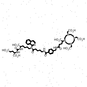 O=C(O)CC[C@@H](NC(=O)N[C@H](CCCCN(C(=O)CCCCNC(=O)c1ccc(CNC(=O)CCC(C(=O)O)N2CCN(CC(=O)O)CCN(CC(=O)O)CCN(CC(=O)O)CC2)cc1)c1nccc2ccccc12)C(=O)O)C(=O)O